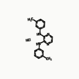 Cc1cccc(Nc2nccnc2Nc2cccc(C)c2)c1.Cl